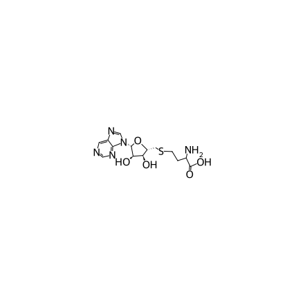 NC(CCSC[C@H]1O[C@@H](n2cnc3cncnc32)[C@H](O)[C@@H]1O)C(=O)O